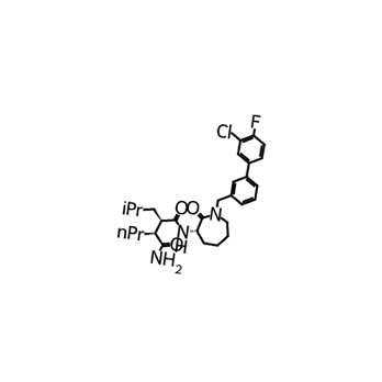 CCC[C@H](C(N)=O)[C@@H](CC(C)C)C(=O)N[C@H]1CCCCN(Cc2cccc(-c3ccc(F)c(Cl)c3)c2)C1=O